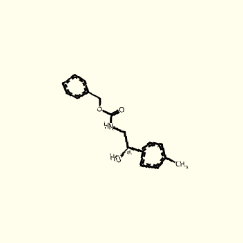 Cc1ccc([C@@H](O)CNC(=O)OCc2ccccc2)cc1